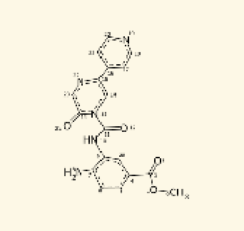 COC(=O)c1ccc(N)c(NC(=O)n2cc(-c3ccncc3)ncc2=O)c1